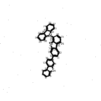 c1ccc2c(c1)sc1cc(-c3ccc4c(c3)sc3c(-n5c6ccccc6c6ccccc65)cccc34)ccc12